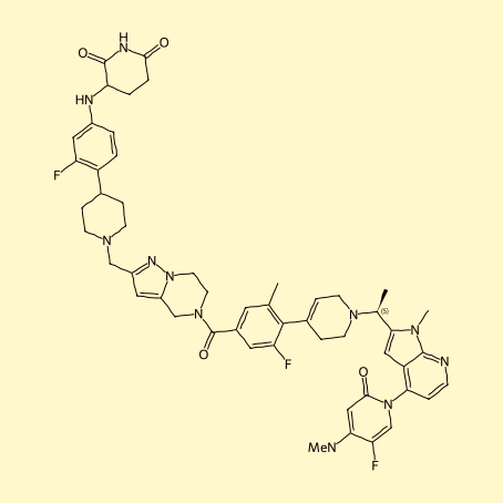 CNc1cc(=O)n(-c2ccnc3c2cc([C@H](C)N2CC=C(c4c(C)cc(C(=O)N5CCn6nc(CN7CCC(c8ccc(NC9CCC(=O)NC9=O)cc8F)CC7)cc6C5)cc4F)CC2)n3C)cc1F